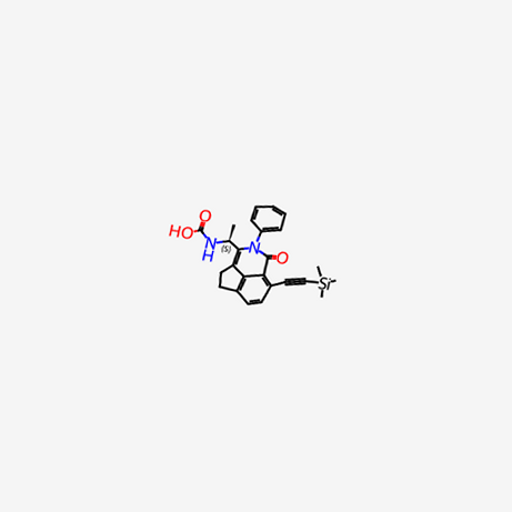 C[C@H](NC(=O)O)c1c2c3c(ccc(C#C[Si](C)(C)C)c3c(=O)n1-c1ccccc1)CC2